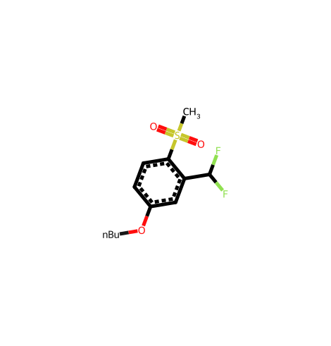 CCCCOc1ccc(S(C)(=O)=O)c(C(F)F)c1